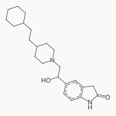 O=C1Cc2cc(C(O)CN3CCC(CCC4CCCCC4)CC3)ccc2N1